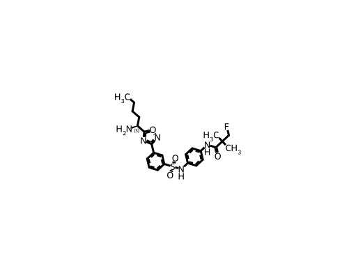 CCCC[C@H](N)c1nc(-c2cccc(S(=O)(=O)Nc3ccc(NC(=O)C(C)(C)CF)cc3)c2)no1